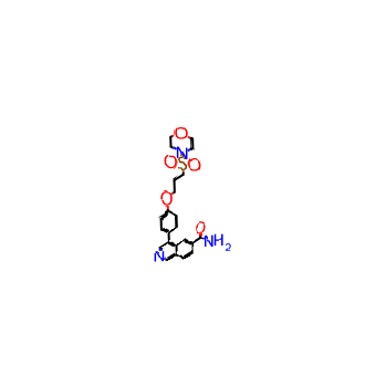 NC(=O)c1ccc2cncc(-c3ccc(OCCCS(=O)(=O)N4CCOCC4)cc3)c2c1